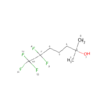 CC(C)(O)CCCC(F)(F)C(F)(F)F